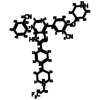 N#Cc1cc(-c2ncnc3[nH]c(-c4ccc(C5CCN(CC(F)(F)F)CC5)cc4)nc23)ccc1OC1CCNCC1.N#Cc1ccccc1